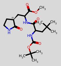 COC(=O)C(C[C@@H]1CCNC1=O)NC(=O)C(CC(C)(C)C)NC(=O)OC(C)(C)C